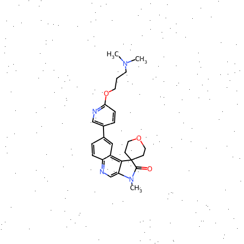 CN(C)CCCOc1ccc(-c2ccc3ncc4c(c3c2)C2(CCOCC2)C(=O)N4C)cn1